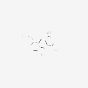 CCC(=O)c1cc(C(=O)O)c(C(=O)CC)cc1C(=O)O